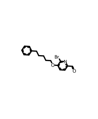 O=Cc1ccc(OCCCCCc2ccccc2)c(Br)n1